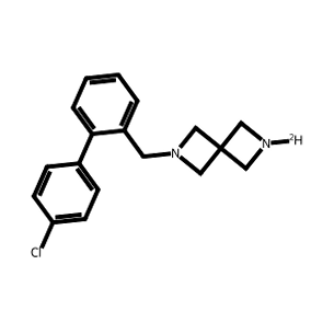 [2H]N1CC2(C1)CN(Cc1ccccc1-c1ccc(Cl)cc1)C2